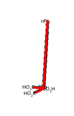 CCCOCCOCCOCCOCCOCCOCCOCCOCCOCCOCCOCCOCCOCCOCCOCCOCCOCCOCCOCCOCCOCCOCCOCCNC(=O)C(CCCCCCCCCCC(=O)O)(CCCCCCCCCCC(=O)O)C(=O)O